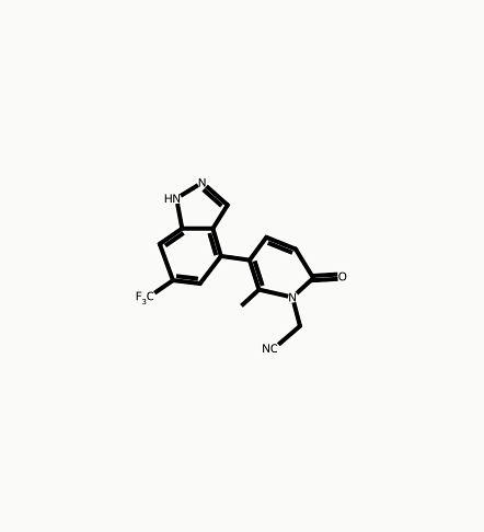 Cc1c(-c2cc(C(F)(F)F)cc3[nH]ncc23)ccc(=O)n1CC#N